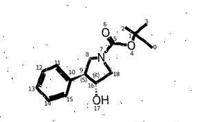 CC(C)(C)OC(=O)N1C[C@H](c2ccccc2)[C@@H](O)C1